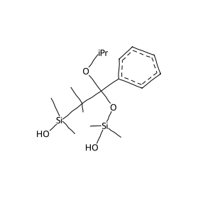 CC(C)OC(O[Si](C)(C)O)(c1ccccc1)C(C)(C)[Si](C)(C)O